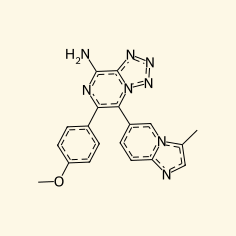 COc1ccc(-c2nc(N)c3nnnn3c2-c2ccc3ncc(C)n3c2)cc1